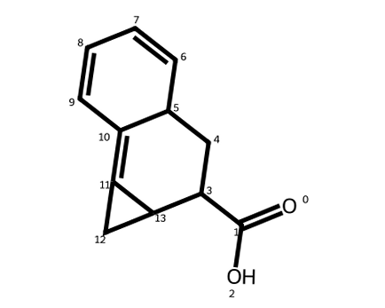 O=C(O)C1CC2C=CC=CC2=C2CC21